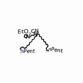 CCCCC/C=C\C/C=C\CCCCCCCCC1(CCCCCCCC/C=C\C/C=C\CCCCC)C=NC(C(=O)OCC)N1CCCN1CCCC1